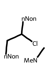 CCCCCCCCCCC(Cl)CCCCCCCCC.CNC